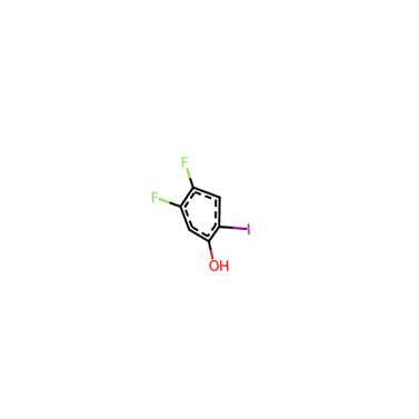 Oc1cc(F)c(F)cc1I